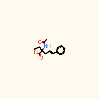 CC(=O)NC1(CC=Cc2ccccc2)CCOC1=O